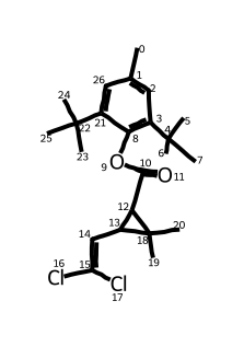 Cc1cc(C(C)(C)C)c(OC(=O)C2C(C=C(Cl)Cl)C2(C)C)c(C(C)(C)C)c1